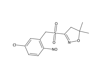 CC1(C)CC(S(=O)(=O)Cc2cc(Cl)ccc2N=O)=NO1